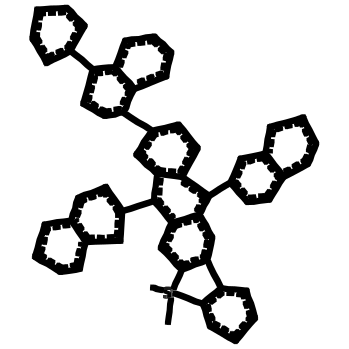 C[Si]1(C)c2ccccc2-c2cc3c(-c4ccc5ccccc5c4)c4ccc(-c5ccc(-c6ccccc6)c6ccccc56)cc4c(-c4ccc5ccccc5c4)c3cc21